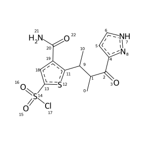 CC(C(=O)c1cc[nH]n1)C(C)c1sc(S(=O)(=O)Cl)cc1C(N)=O